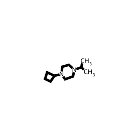 CC(C)N1CCN(C2CCC2)CC1